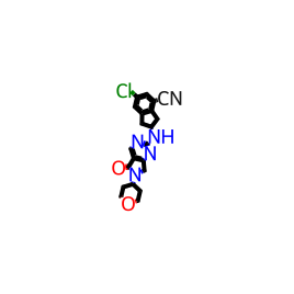 N#Cc1cc(Cl)cc2c1C[C@@H](Nc1ncc3c(n1)CN(C1CCOCC1)C3=O)C2